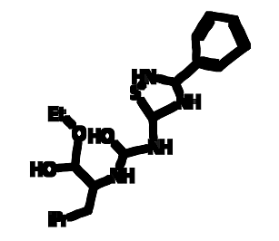 CCOC(O)C(CC(C)C)NC(O)NC1NC(c2ccccc2)NS1